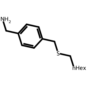 CCCCCCCSCc1ccc(CN)cc1